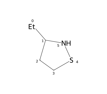 CCC1CCSN1